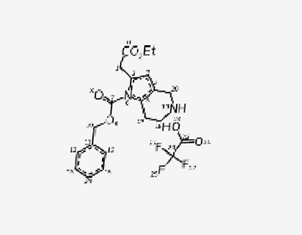 CCOC(=O)Cc1cc2c(n1C(=O)OCc1ccccc1)CCNC2.O=C(O)C(F)(F)F